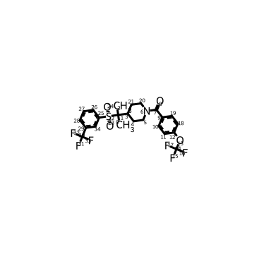 CC(C)(C1CCN(C(=O)c2ccc(OC(F)(F)F)cc2)CC1)S(=O)(=O)c1cccc(C(F)(F)F)c1